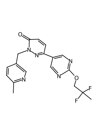 Cc1ccc(Cn2nc(-c3cnc(OCC(C)(F)F)nc3)ccc2=O)cn1